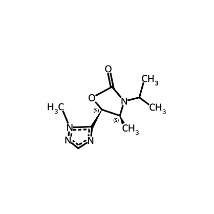 CC(C)N1C(=O)O[C@H](c2ncnn2C)[C@@H]1C